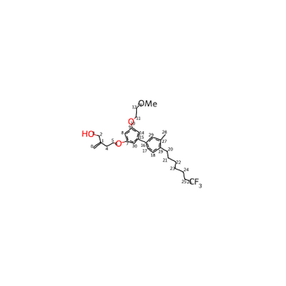 C=C(CO)CCOc1cc(OCCOC)cc(-c2ccc(CCCCCCC(F)(F)F)c(C)c2)c1